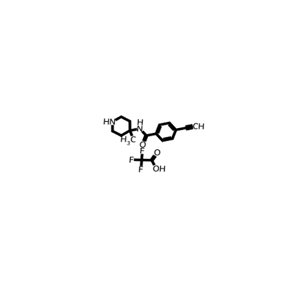 C#Cc1ccc(C(=O)NC2(C)CCNCC2)cc1.O=C(O)C(F)(F)F